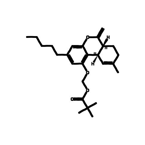 C=C1Oc2cc(CCCCC)cc(OCOC(=O)C(C)(C)C)c2[C@@H]2C=C(C)CC[C@@H]12